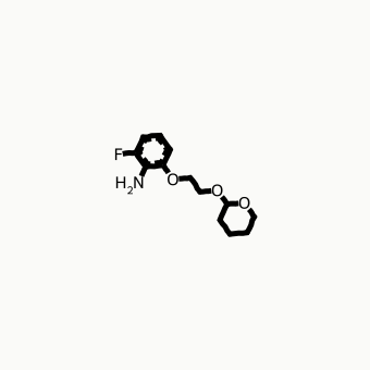 Nc1c(F)cccc1OCCOC1CCCCO1